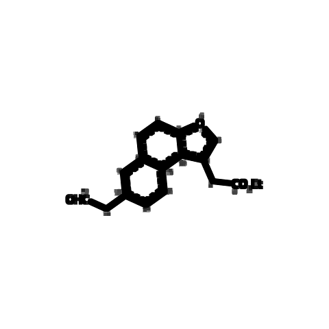 CCOC(=O)Cc1coc2ccc3cc(CC=O)ccc3c12